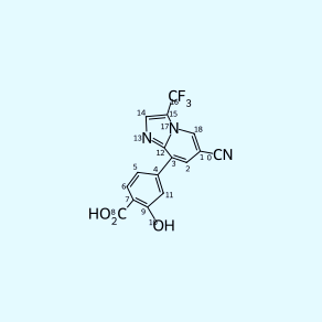 N#Cc1cc(-c2ccc(C(=O)O)c(O)c2)c2ncc(C(F)(F)F)n2c1